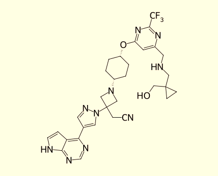 N#CCC1(n2cc(-c3ncnc4[nH]ccc34)cn2)CN([C@H]2CC[C@@H](Oc3cc(CNCC4(CO)CC4)nc(C(F)(F)F)n3)CC2)C1